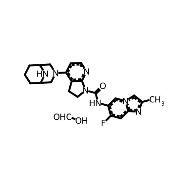 Cc1cn2cc(NC(=O)N3CCc4c(N5CC6CCCC(C5)N6)ccnc43)c(F)cc2n1.O=CO